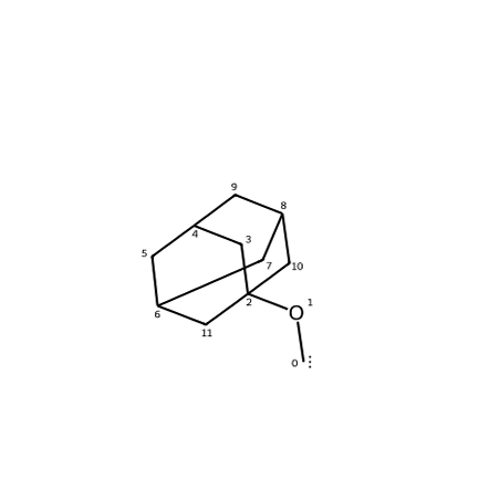 [C]OC12CC3CC(CC(C3)C1)C2